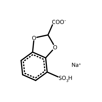 O=C([O-])C1Oc2cccc(S(=O)(=O)O)c2O1.[Na+]